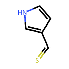 S=[C]c1cc[nH]c1